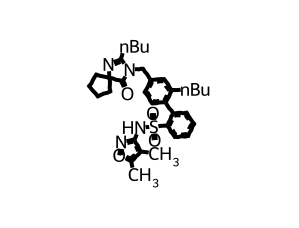 CCCCC1=NC2(CCCC2)C(=O)N1Cc1ccc(-c2ccccc2S(=O)(=O)Nc2noc(C)c2C)c(CCCC)c1